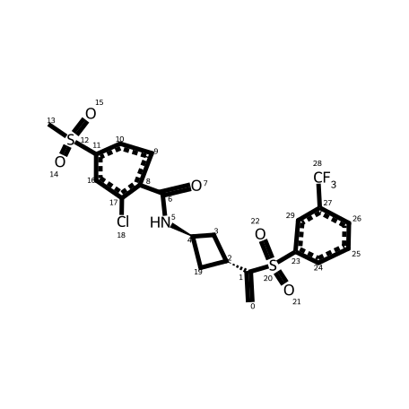 C=C([C@H]1C[C@H](NC(=O)c2ccc(S(C)(=O)=O)cc2Cl)C1)S(=O)(=O)c1cccc(C(F)(F)F)c1